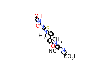 Cc1c(-c2nc3cc(CN4CCC(C(=O)O)CC4)cc(C#N)c3o2)cccc1-c1cccc(-c2nc3c(s2)CN(C(=O)CN2CC[C@@H](O)C2)C3)c1C